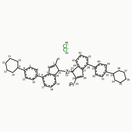 CC1=Cc2c(-c3ccc(C4CCCCC4)cc3)cccc2[CH]1[Zr+2][CH]1C(C(C)C)=Cc2c(-c3ccc(C4CCCCC4)cc3)cccc21.[Cl-].[Cl-]